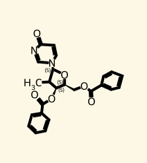 CC1[C@H](OC(=O)c2ccccc2)[C@H](COC(=O)c2ccccc2)O[C@@H]1n1ccc(=O)nc1